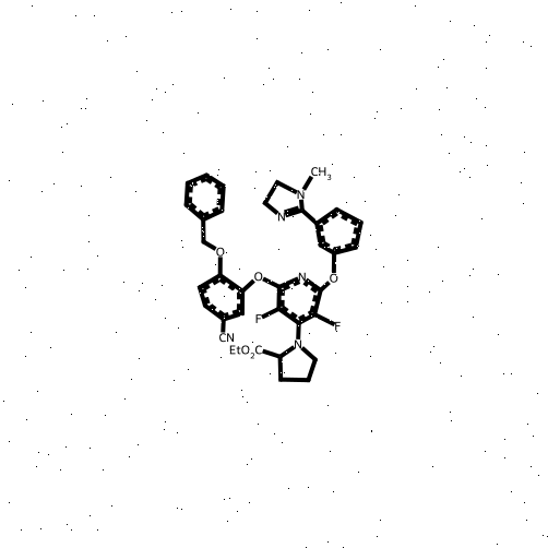 CCOC(=O)C1CCCN1c1c(F)c(Oc2cccc(C3=NCCN3C)c2)nc(Oc2cc(C#N)ccc2OCc2ccccc2)c1F